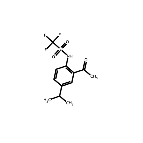 CC(=O)c1cc(C(C)C)ccc1NS(=O)(=O)C(F)(F)F